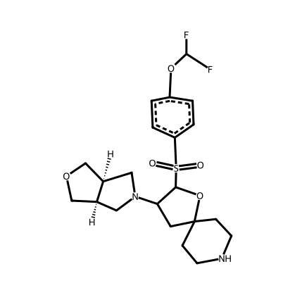 O=S(=O)(c1ccc(OC(F)F)cc1)C1OC2(CCNCC2)CC1N1C[C@H]2COC[C@H]2C1